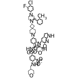 Cc1ccccc1[C@@H]1CN(c2ccc(Cl)c(F)c2)CCN1C1CC2(CCN(c3ccc(C(=O)NS(=O)(=O)c4ccc(NCC5CCOCC5)c([N+](=O)[O-])c4)c(N4c5cc6cc[nH]c6nc5O[C@H]5COCC[C@@H]54)c3)CC2)C1